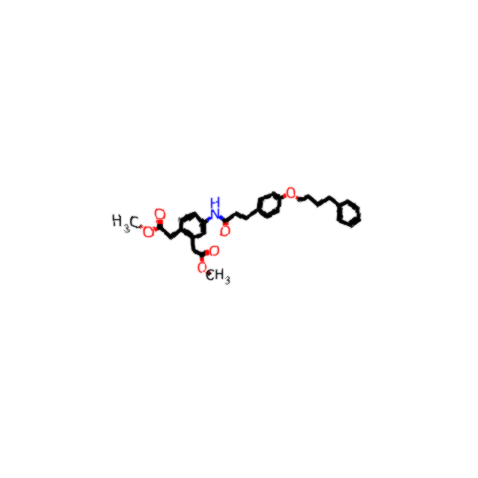 COC(=O)Cc1ccc(NC(=O)CCc2ccc(OCCCCc3ccccc3)cc2)cc1CC(=O)OC